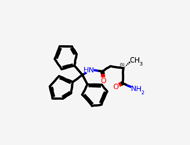 C[C@@H](CC(=O)NC(c1ccccc1)(c1ccccc1)c1ccccc1)C(N)=O